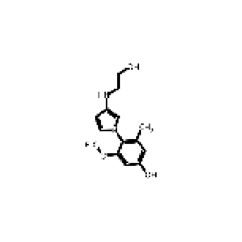 Cc1cc(O)cc(OC(F)(F)F)c1-n1ccc(NCCO)c1